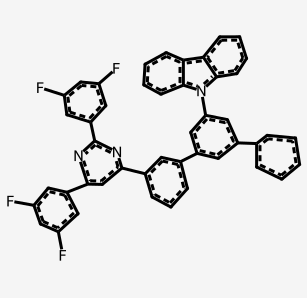 Fc1cc(F)cc(-c2cc(-c3cccc(-c4cc(-c5ccccc5)cc(-n5c6ccccc6c6ccccc65)c4)c3)nc(-c3cc(F)cc(F)c3)n2)c1